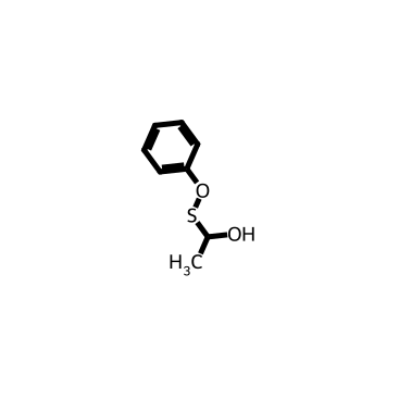 CC(O)SOc1ccccc1